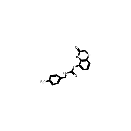 O=C1COc2cccc(OC(=O)NCc3ccc(C(F)(F)F)cc3)c2N1